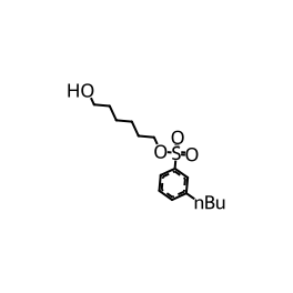 CCCCc1cccc(S(=O)(=O)OCCCCCCO)c1